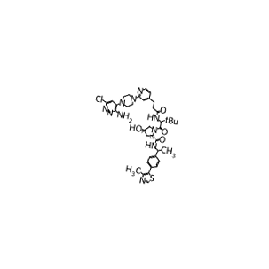 Cc1ncsc1-c1ccc(C(C)NC(=O)[C@@H]2C[C@@H](O)CN2C(=O)C(NC(=O)CCc2ccnc(N3CCN(c4cc(Cl)nnc4N)CC3)c2)C(C)(C)C)cc1